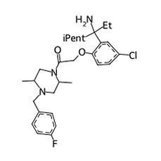 CCCC(C)C(N)(CC)c1cc(Cl)ccc1OCC(=O)N1CC(C)N(Cc2ccc(F)cc2)CC1C